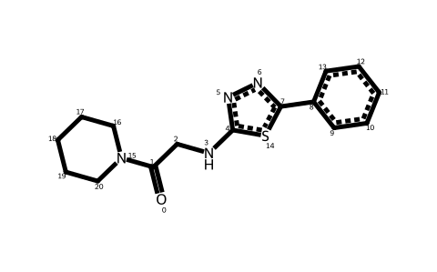 O=C(CNc1nnc(-c2ccccc2)s1)N1CCCCC1